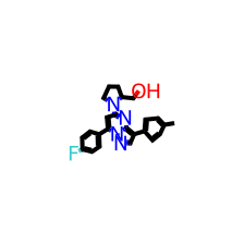 Cc1ccc(-c2cnn3c(-c4ccc(F)cc4)cc(N4CCCC4CO)nc23)cc1